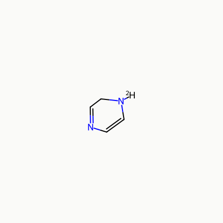 [2H]N1C=CN=CC1